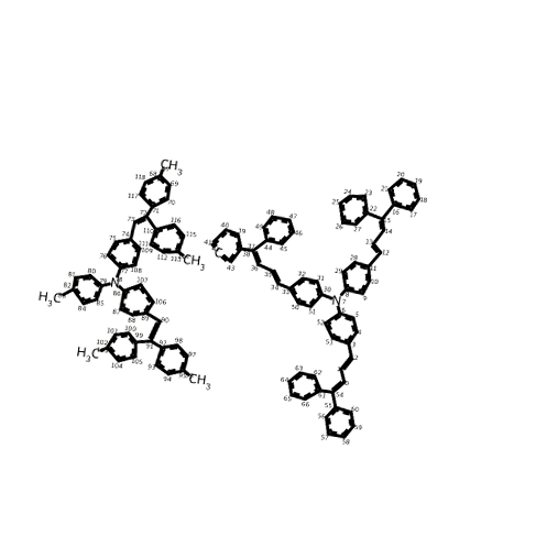 C(/C=C/c1ccc(N(c2ccc(/C=C/C=C(c3ccccc3)c3ccccc3)cc2)c2ccc(/C=C/C=C(c3ccccc3)c3ccccc3)cc2)cc1)=C(c1ccccc1)c1ccccc1.Cc1ccc(C(=Cc2ccc(N(c3ccc(C)cc3)c3ccc(C=C(c4ccc(C)cc4)c4ccc(C)cc4)cc3)cc2)c2ccc(C)cc2)cc1